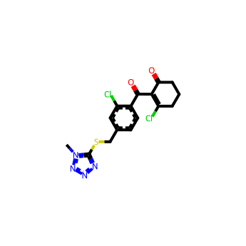 Cn1nnnc1SCc1ccc(C(=O)C2=C(Cl)CCCC2=O)c(Cl)c1